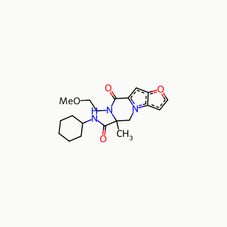 COCCN1C(=O)c2cc3occc3n2CC1(C)C(=O)NC1CCCCC1